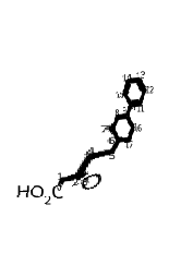 O=C(O)CC(=O)CCC1CCC(c2ccccc2)CC1